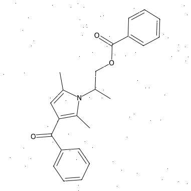 Cc1cc(C(=O)c2ccccc2)c(C)n1C(C)COC(=O)c1ccccc1